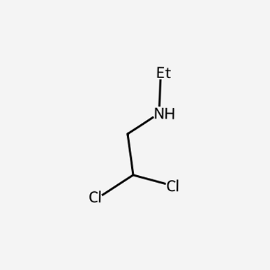 CCNCC(Cl)Cl